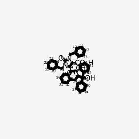 CN(C(=O)[C@@H]1[C@H](C(=O)O)N(Cc2ccccc2)C(=O)N1Cc1ccccc1)C(Cc1ccccc1)C(O)(c1ccccc1)c1ccccc1